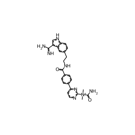 C[N+](C)(C(N)=O)c1nccc(-c2ccc(C(=O)NCCc3ccc4[nH]cc(C(=N)N)c4c3)cc2)n1